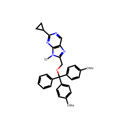 [CH2]Cn1c(COC(c2ccccc2)(c2ccc(OC)cc2)c2ccc(OC)cc2)nc2cnc(C3CC3)nc21